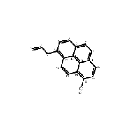 C=CCc1ccc2ccc3ccc(Cl)c4ccc1c2c34